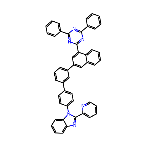 c1ccc(-c2nc(-c3ccccc3)nc(-c3cc(-c4cccc(-c5ccc(-n6c(-c7ccccn7)nc7ccccc76)cc5)c4)cc4ccccc34)n2)cc1